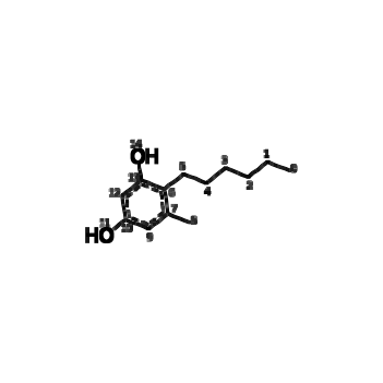 CCCCCCc1c(C)cc(O)cc1O